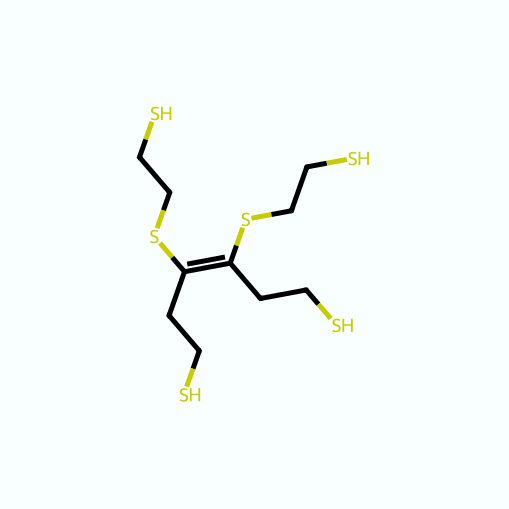 SCCSC(CCS)=C(CCS)SCCS